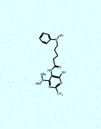 CCCCN(CCCC)c1nc(C)nc(S)c1NC(=O)CCCCN(CCC)c1ccccc1